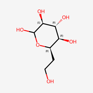 OCC[C@H]1OC(O)[C@@H](O)[C@H](O)[C@H]1O